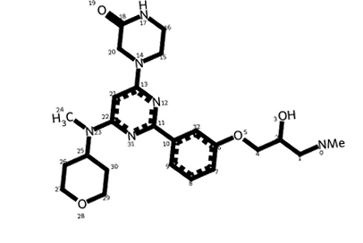 CNCC(O)COc1cccc(-c2nc(N3CCNC(=O)C3)cc(N(C)C3CCOCC3)n2)c1